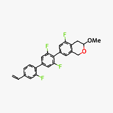 C=Cc1ccc(-c2cc(F)c(-c3cc(F)c4c(c3)COC(OC)C4)c(F)c2)c(F)c1